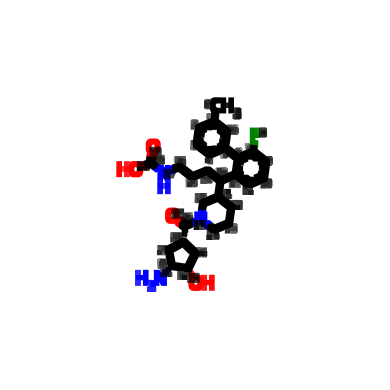 Cc1cccc(-c2c(F)cccc2C(CCCNC(=O)O)C2CCCN(C(=O)[C@H]3C[C@@H](N)[C@@H](O)C3)C2)c1